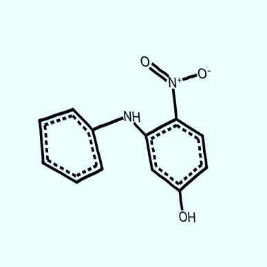 O=[N+]([O-])c1ccc(O)cc1Nc1ccccc1